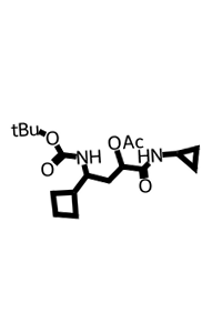 CC(=O)OC(CC(NC(=O)OC(C)(C)C)C1CCC1)C(=O)NC1CC1